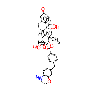 C[C@]12C=CC(=O)C=C1CC[C@@H]1[C@@H]2[C@@H](O)C[C@@]2(C)[C@H]1C[C@H]1O[C@@H](c3ccc(Cc4ccc5c(c4)OCCN5)cc3)O[C@]12C(=O)CO